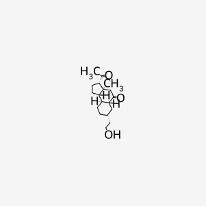 CC(=O)[C@H]1CC[C@H]2[C@@H]3CC[C@@H](CCO)C[C@H]3C(=O)C[C@]12C